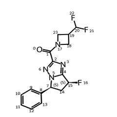 O=C(c1nc2n(n1)[C@H](c1ccccc1)C[C@@H]2F)N1CC(C(F)F)C1